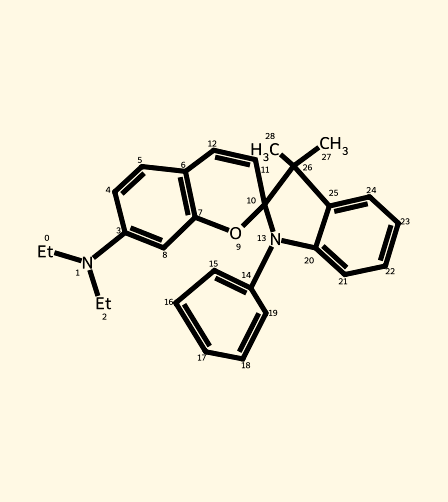 CCN(CC)c1ccc2c(c1)OC1(C=C2)N(c2ccccc2)c2ccccc2C1(C)C